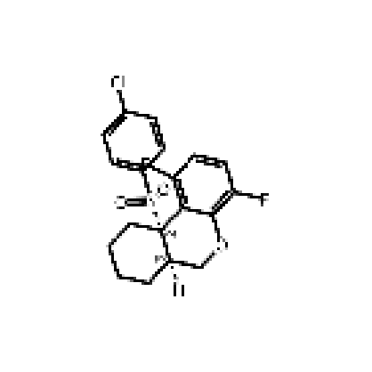 O=S(=O)(c1ccc(Cl)cc1)[C@@]12CCCC[C@@H]1COc1c(F)ccc(F)c12